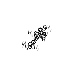 COc1nn(C2CCN(C(C)(C)C)CC2)cc1Nc1nc2cccc(OC)c2c2cn[nH]c12